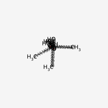 CCCCCCCCCCCCCCCC(=O)N(C(=O)CCCCCCCCCCCCCCC)[C@@](CSCC(O)CO)(C(=O)CCCCCCCCCCCCCCC)C(=O)N[C@@H](CO)C(=O)O